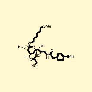 C#Cc1ccc(CC(=O)NC[C@@H](O)[C@@H](O)[C@@H]2O[C@@](OCCCCCCOC)(C(=O)O)C[C@H](O)[C@H]2NC(=O)CO)cc1